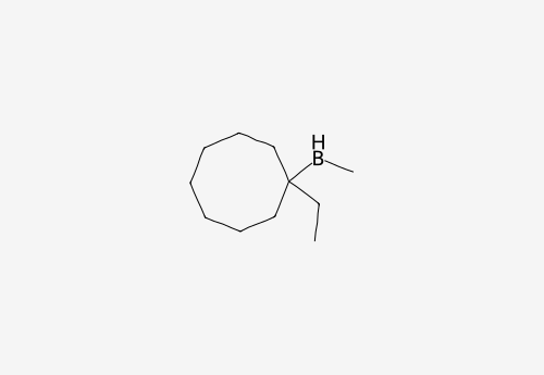 CBC1(CC)CCCCCCC1